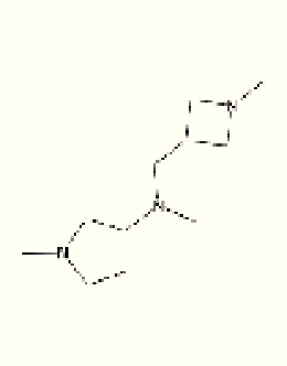 CN1CC(CN(C)C2CCN(C)C2)C1